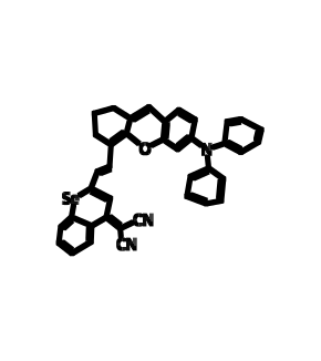 N#CC(C#N)=C1C=C(C=CC2=C3Oc4cc(N(c5ccccc5)c5ccccc5)ccc4C=C3CCC2)[Se]c2ccccc21